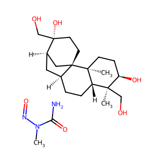 CN(N=O)C(N)=O.C[C@@]1(CO)[C@H](O)CC[C@@]2(C)[C@H]1CC[C@H]1C[C@@H]3C[C@@]12CC[C@]3(O)CO